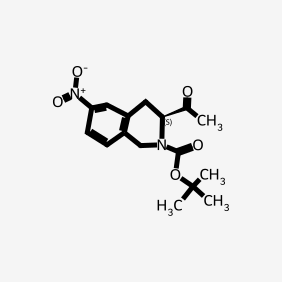 CC(=O)[C@@H]1Cc2cc([N+](=O)[O-])ccc2CN1C(=O)OC(C)(C)C